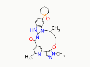 Cc1cc2cc(n1)-c1cnn(C)c1OCCC[C@@H](C)CN1/C(=N/C2=O)Nc2ccc(P3(=O)CCCCC3)cc21